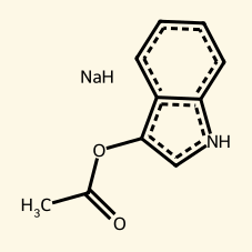 CC(=O)Oc1c[nH]c2ccccc12.[NaH]